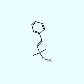 C[Si](C)(C=Cc1ccccc1)O[SiH3]